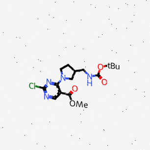 COC(=O)c1cnc(Cl)nc1N1CCC(CNC(=O)OC(C)(C)C)C1